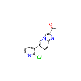 CC(=O)c1cn2cc(-c3cccnc3Cl)ccc2n1